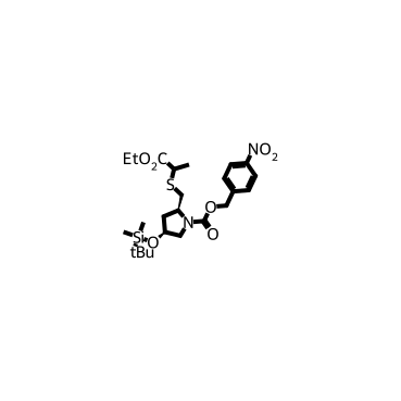 CCOC(=O)C(C)SC[C@@H]1C[C@H](O[Si](C)(C)C(C)(C)C)CN1C(=O)OCc1ccc([N+](=O)[O-])cc1